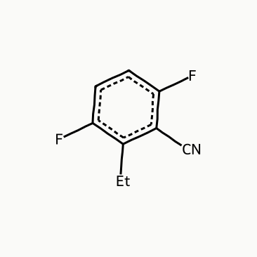 CCc1c(F)ccc(F)c1C#N